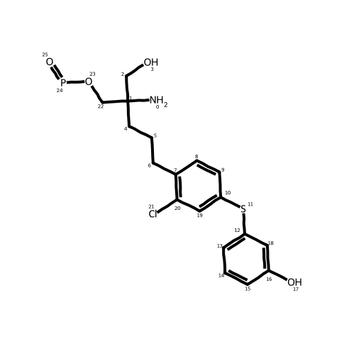 NC(CO)(CCCc1ccc(Sc2cccc(O)c2)cc1Cl)COP=O